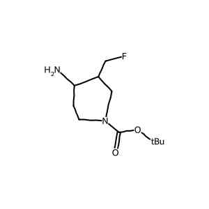 CC(C)(C)OC(=O)N1CCC(N)C(CF)C1